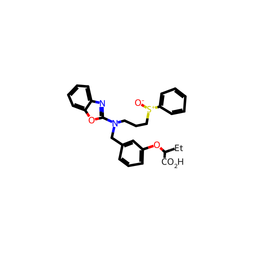 CCC(Oc1cccc(CN(CCC[S+]([O-])c2ccccc2)c2nc3ccccc3o2)c1)C(=O)O